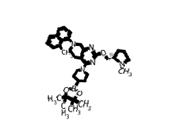 Cc1cccc2cccc(N3CCc4c(nc(OC[C@@H]5CCCN5C)nc4N4CCC(B5OC(C)(C)C(C)(C)O5)CC4)C3)c12